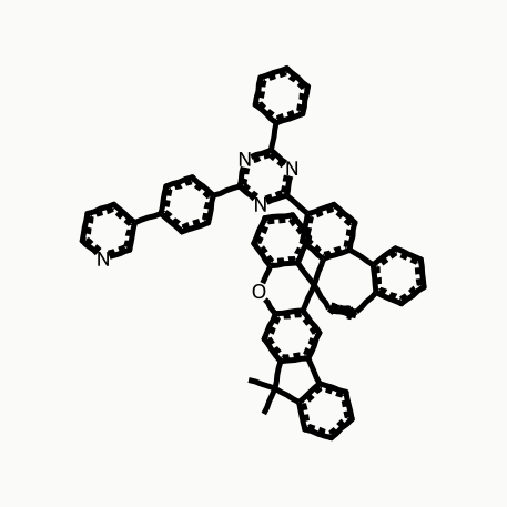 CC1(C)c2ccccc2-c2cc3c(cc21)Oc1ccccc1C31c2ccccc2-c2ccccc2-c2ccc(-c3nc(-c4ccccc4)nc(-c4ccc(-c5cccnc5)cc4)n3)cc21